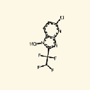 On1c(C(F)(F)C(F)F)nc2nc(Cl)ccc21